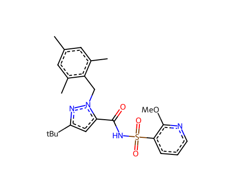 COc1ncccc1S(=O)(=O)NC(=O)c1cc(C(C)(C)C)nn1Cc1c(C)cc(C)cc1C